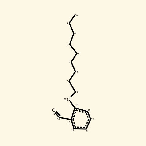 CCCCCCCCCOc1ccccc1[C]=O